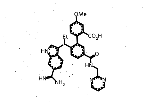 CCC(c1ccc(C(=O)NCc2ncccn2)cc1-c1ccc(OC)cc1C(=O)O)c1c[nH]c2cc(C(=N)N)ccc12